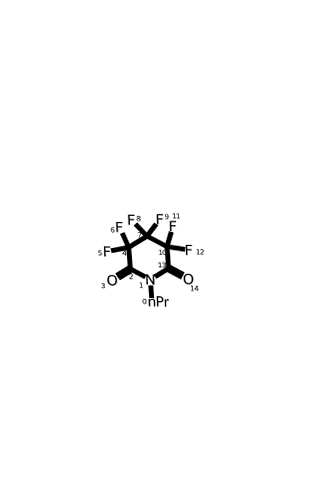 CCCN1C(=O)C(F)(F)C(F)(F)C(F)(F)C1=O